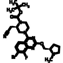 CN1CCC[C@H]1COc1nc(N2CCN(C(=O)OC(C)(C)C)[C@@H](CC#N)C2)c2ccc(Br)c(F)c2n1